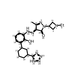 CCN1CC(N2N=C(C)/C(=N\Nc3cccc(C4CCCC(c5nnn[nH]5)C4)c3O)C2=O)C1